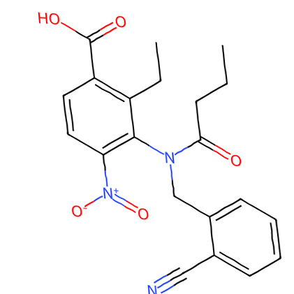 CCCC(=O)N(Cc1ccccc1C#N)c1c([N+](=O)[O-])ccc(C(=O)O)c1CC